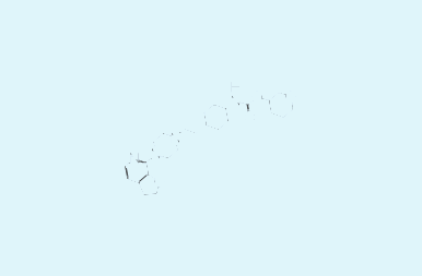 O=C(N[C@H]1CC[C@H](CCN2CCN(c3nccc4c3OCC4)CC2)CC1)OC1CCCOC1